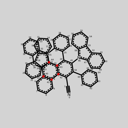 N#Cc1c(-c2ccccc2)c(-n2c3ccccc3c3ccccc32)c(-c2ccccc2N2c3ccccc3Oc3ccccc32)c(-n2c3ccccc3c3ccccc32)c1-c1ccccc1